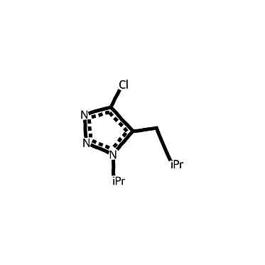 CC(C)Cc1c(Cl)nnn1C(C)C